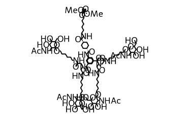 COP(=O)(OC)OCCCCCCNC(=O)[C@H]1CC[C@H](C(=O)Nc2cc(C(=O)N(CC(=O)NCCCCCCOC3OC(CO)C(O)C(O)C3NC(C)=O)CC(=O)NCCCCCCOC3OC(CO)C(O)C(O)C3NC(C)=O)cc(C(=O)N(CC(=O)NCCCCCCOC3OC(CO)C(O)C(O)C3NC(C)=O)CC(=O)NCCCCCCOC3OC(CO)C(O)C(O)C3NC(C)=O)c2)CC1